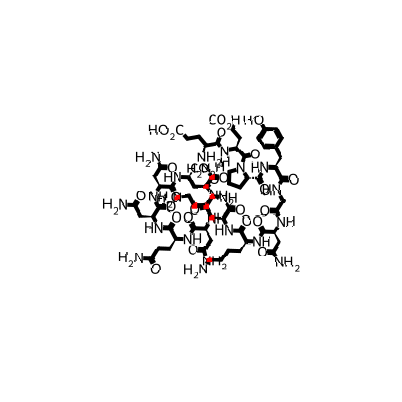 NCCCC[C@H](NC(=O)[C@H](CC(N)=O)NC(=O)CNC(=O)[C@H](Cc1ccc(O)cc1)NC(=O)[C@@H]1CCCN1C(=O)[C@H](CCC(=O)O)NC(=O)[C@@H](N)CCC(=O)O)C(=O)N[C@@H](CCCCN)C(=O)N[C@@H](CC(N)=O)C(=O)N[C@@H](CC(N)=O)C(=O)N[C@@H](CCC(N)=O)C(=O)N[C@@H](CC(N)=O)C(=O)N[C@@H](CC(N)=O)C(=O)N[C@@H](CC(N)=O)C(=O)O